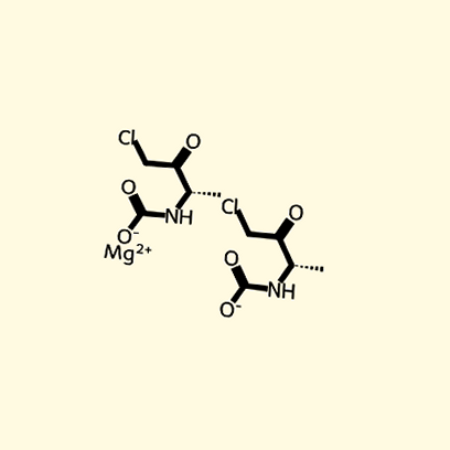 C[C@H](NC(=O)[O-])C(=O)CCl.C[C@H](NC(=O)[O-])C(=O)CCl.[Mg+2]